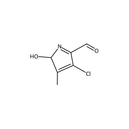 CC1=C(Cl)C(C=O)=NC1O